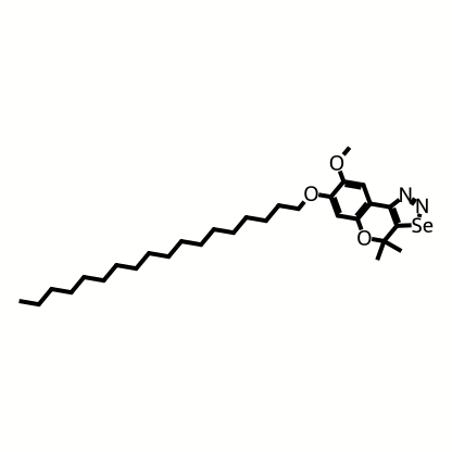 CCCCCCCCCCCCCCCCCCOc1cc2c(cc1OC)-c1nn[se]c1C(C)(C)O2